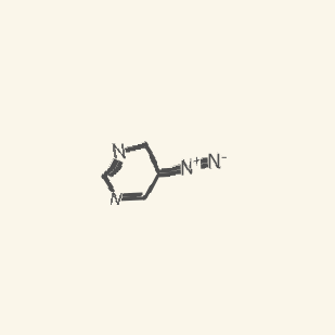 [N-]=[N+]=C1C=NC=NC1